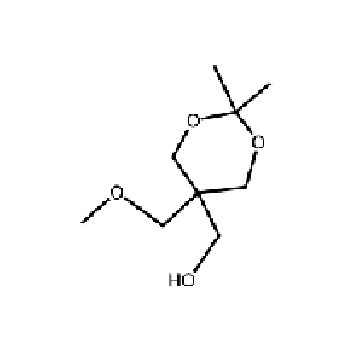 COCC1(CO)COC(C)(C)OC1